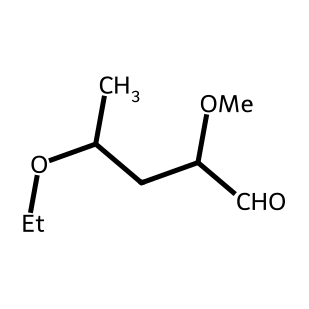 CCOC(C)CC(C=O)OC